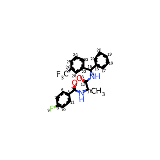 C[C@H](NC(=O)c1ccc(F)cc1)C(=O)NC(c1ccccc1)c1cccc(C(F)(F)F)c1